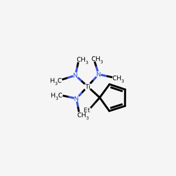 CC[C]1([Ti]([N](C)C)([N](C)C)[N](C)C)C=CC=C1